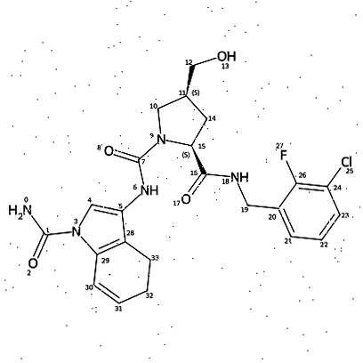 NC(=O)n1cc(NC(=O)N2C[C@@H](CO)C[C@H]2C(=O)NCc2cccc(Cl)c2F)c2c1C=CCC2